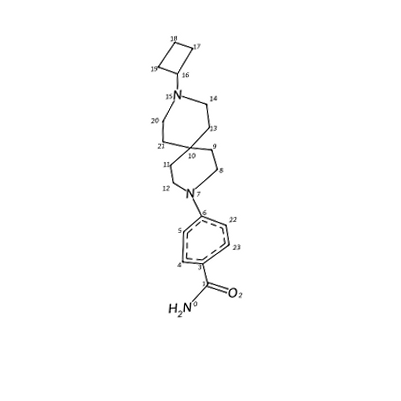 NC(=O)c1ccc(N2CCC3(CC2)CCN(C2CCC2)CC3)cc1